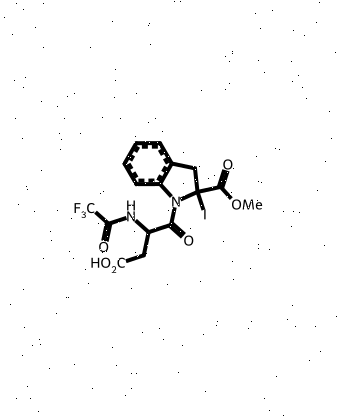 COC(=O)C1(I)Cc2ccccc2N1C(=O)C(CC(=O)O)NC(=O)C(F)(F)F